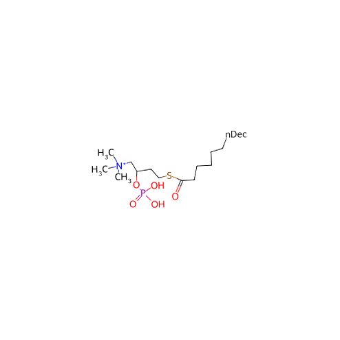 CCCCCCCCCCCCCCCC(=O)SCCC(C[N+](C)(C)C)OP(=O)(O)O